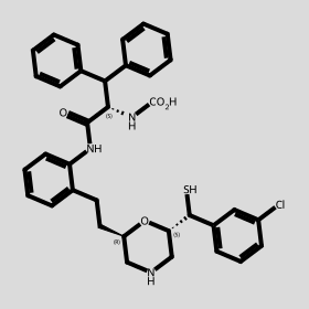 O=C(O)N[C@H](C(=O)Nc1ccccc1CC[C@@H]1CNC[C@@H](C(S)c2cccc(Cl)c2)O1)C(c1ccccc1)c1ccccc1